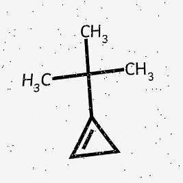 CC(C)(C)C1=CC1